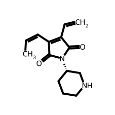 C=CC1=C(/C=C\C)C(=O)N([C@H]2CCCNC2)C1=O